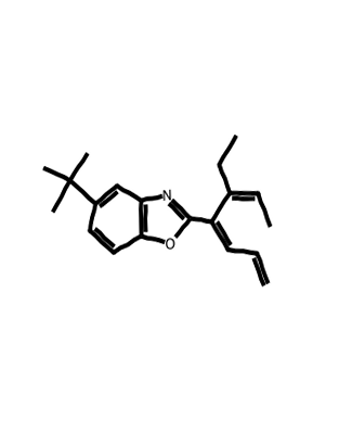 C=C/C=C(\C(=C/C)CC)c1nc2cc(C(C)(C)C)ccc2o1